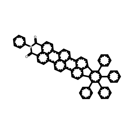 O=C1c2ccc3c4ccc5c6ccc7c8c(ccc(c9ccc(c%10ccc(c2c3%10)C(=O)N1c1ccccc1)c4c59)c86)-c1c(-c2ccccc2)c(-c2ccccc2)c(-c2ccccc2)c(-c2ccccc2)c1-7